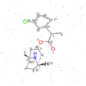 CC(C(=O)O[C@@H]1C[C@@H]2CC[C@](C)(C1)N2)c1cccc(Cl)c1